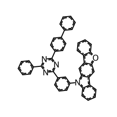 c1ccc(-c2ccc(-c3nc(-c4ccccc4)nc(-c4cccc(-n5c6ccccc6c6cc7oc8ccccc8c7cc65)c4)n3)cc2)cc1